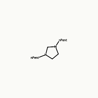 CCCCCN1CCN(CCCCC)C1